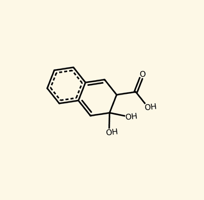 O=C(O)C1C=c2ccccc2=CC1(O)O